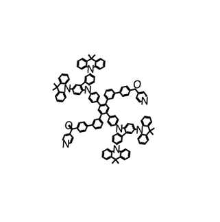 CC1(C)c2ccccc2N(c2ccc3c(c2)c2cc(N4c5ccccc5C(C)(C)c5ccccc54)ccc2n3-c2ccc(-c3cc(-c4cccc(-c5ccc(C(=O)c6ccncc6)cc5)c4)c(-c4ccc(-n5c6ccc(N7c8ccccc8C(C)(C)c8ccccc87)cc6c6cc(N7c8ccccc8C(C)(C)c8ccccc87)ccc65)cc4)cc3-c3cccc(-c4ccc(C(=O)c5ccncc5)cc4)c3)cc2)c2ccccc21